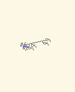 C=CC(CCC)CCCCCCCC(=C)CC1CC(C)(C)NC(C)(C)C1